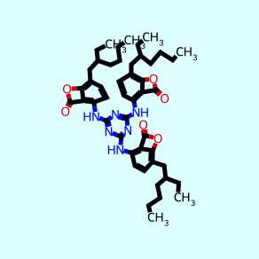 CCCCC(CC)Cc1ccc(Nc2nc(Nc3ccc(CC(CC)CCCC)c4c3C(=O)O4)nc(Nc3ccc(CC(CC)CCCC)c4c3C(=O)O4)n2)c2c1OC2=O